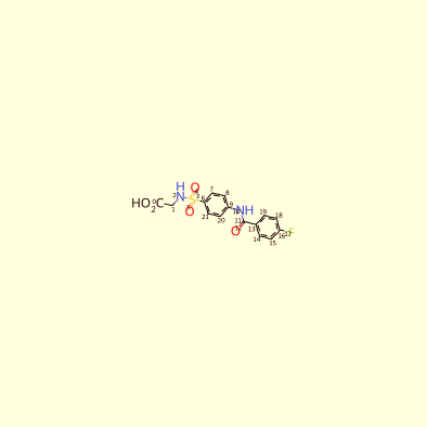 O=C(O)CNS(=O)(=O)c1ccc(NC(=O)c2ccc(F)cc2)cc1